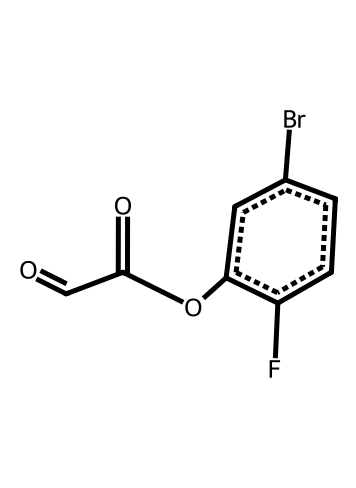 O=CC(=O)Oc1cc(Br)ccc1F